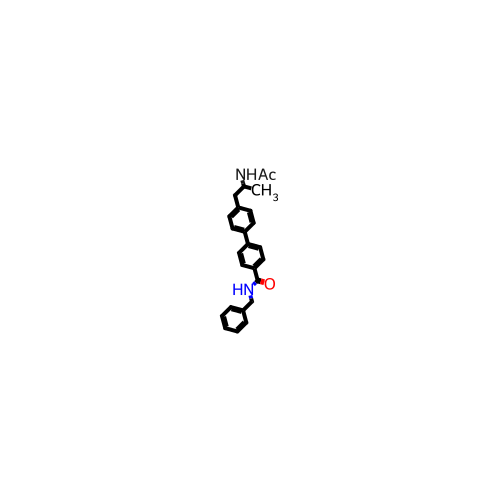 CC(=O)NC(C)Cc1ccc(-c2ccc(C(=O)NCc3ccccc3)cc2)cc1